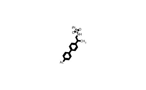 CC(=O)c1ccc(-c2ccc(C(C)CNS(=O)(=O)C(C)C)cc2)cc1